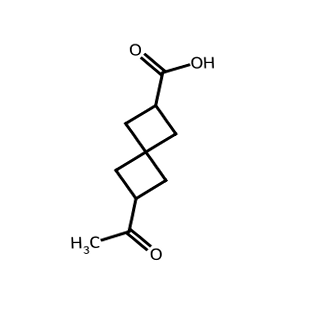 CC(=O)C1CC2(C1)CC(C(=O)O)C2